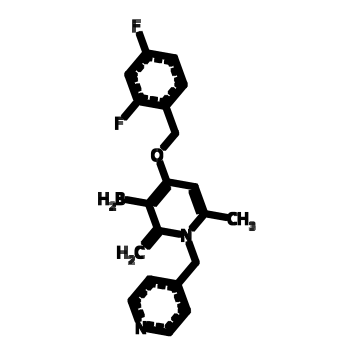 BC1=C(OCc2ccc(F)cc2F)C=C(C)N(Cc2ccncc2)C1=C